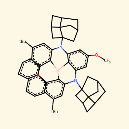 CC(C)(C)c1cc(-c2ccccc2)c2c(c1)N(C13CC4CC5CC(C1)C53C4)c1cc(OC(F)(F)F)cc3c1B2c1c(-c2ccccc2)cc(C(C)(C)C)cc1N3C12CC3CC4CC(C1)C42C3